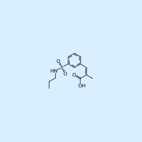 CCCNS(=O)(=O)c1cccc(C=C(C)C(=O)O)c1